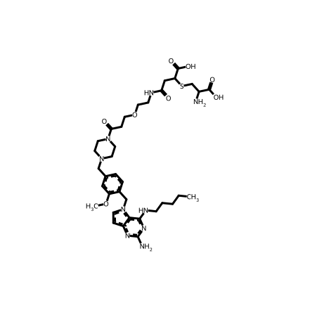 CCCCCNc1nc(N)nc2ccn(Cc3ccc(CN4CCN(C(=O)CCOCCNC(=O)CC(SCC(N)C(=O)O)C(=O)O)CC4)cc3OC)c12